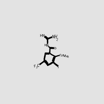 COc1c(I)cc(C(F)(F)F)cc1C(=O)NC(=N)N